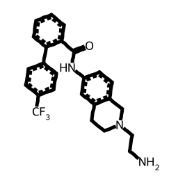 NCCN1CCc2cc(NC(=O)c3ccccc3-c3ccc(C(F)(F)F)cc3)ccc2C1